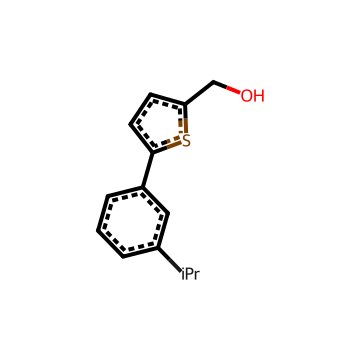 CC(C)c1cccc(-c2ccc(CO)s2)c1